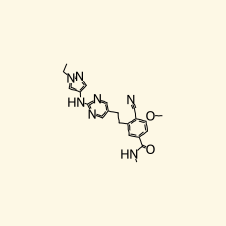 CCn1cc(Nc2ncc(CCc3cc(C(=O)NC)cc(OC)c3C#N)cn2)cn1